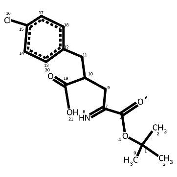 CC(C)(C)OC(=O)C(=N)CC(Cc1ccc(Cl)cc1)C(=O)O